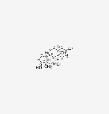 C[C@]12CCC(=O)C[C@@H]1CC[C@@H]1[C@@H]2[C@H](O)C[C@]2(C)[C@@H](O)CC[C@@H]12